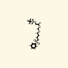 C[C@H](CO[Si](C)(C)C(C)(C)C)OCOCCCCS(=O)(=O)c1ccccc1